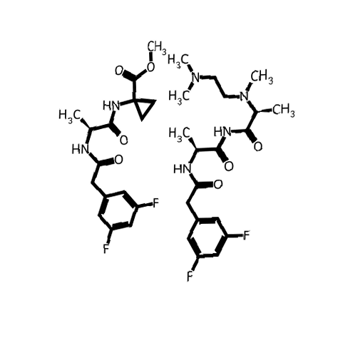 COC(=O)C1(NC(=O)[C@H](C)NC(=O)Cc2cc(F)cc(F)c2)CC1.C[C@H](NC(=O)Cc1cc(F)cc(F)c1)C(=O)NC(=O)[C@H](C)N(C)CCN(C)C